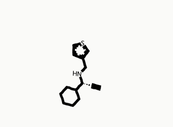 C#C[C@@H](NCc1ccsc1)C1CCCCC1